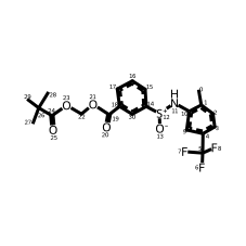 Cc1ccc(C(F)(F)F)cc1N[S+]([O-])c1cccc(C(=O)OCOC(=O)C(C)(C)C)c1